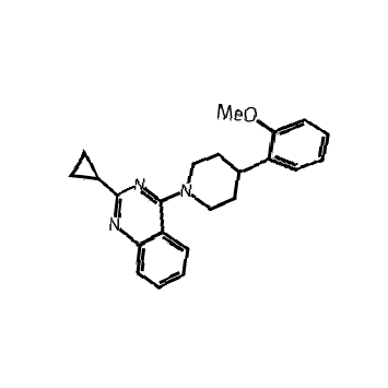 COc1ccccc1C1CCN(c2nc(C3CC3)nc3ccccc23)CC1